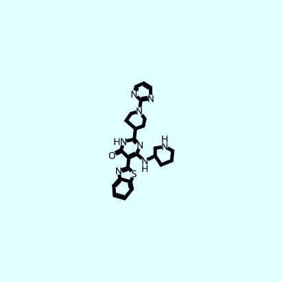 O=c1[nH]c(C2CCN(c3ncccn3)CC2)nc(NC2CCCNC2)c1-c1nc2ccccc2s1